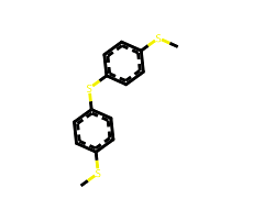 CSc1ccc(Sc2ccc(SC)cc2)cc1